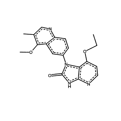 CCOc1ccnc2[nH]c(=O)n(-c3ccc4ncc(C)c(OC)c4c3)c12